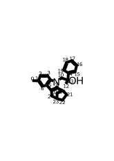 Cc1ccc2c(c1)c1c(n2CC(C)(O)c2ccccc2)C2CCC(C1)C2